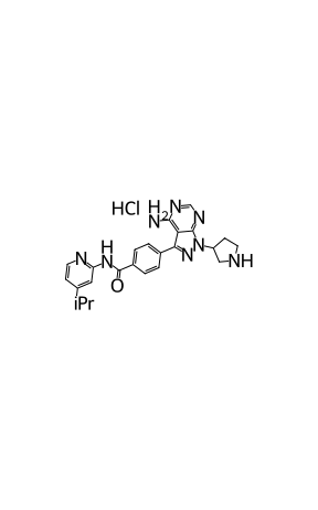 CC(C)c1ccnc(NC(=O)c2ccc(-c3nn(C4CCNC4)c4ncnc(N)c34)cc2)c1.Cl